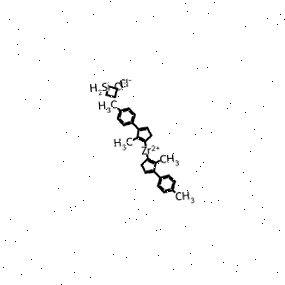 C1C[SiH2]C1.CC1=[C]([Zr+2][C]2=C(C)C(c3ccc(C)cc3)=CC2)CC=C1c1ccc(C)cc1.[Cl-].[Cl-]